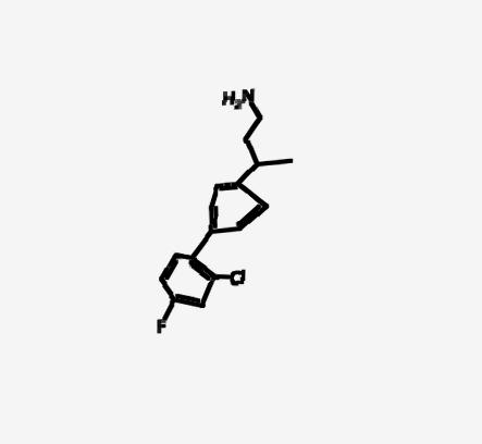 CC(CCN)c1ccc(-c2ccc(F)cc2Cl)cc1